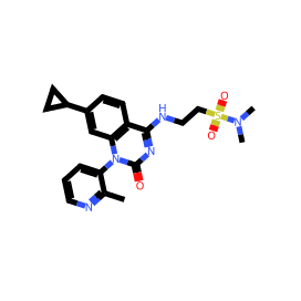 Cc1ncccc1-n1c(=O)nc(NCCS(=O)(=O)N(C)C)c2ccc(C3CC3)cc21